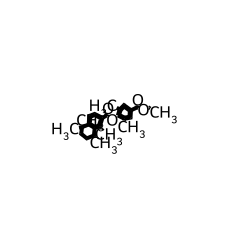 CCOC(=O)c1cc(C)c(OC(=O)c2ccc3c(c2)C(C)(C)CCC3(C)C)c(C)c1